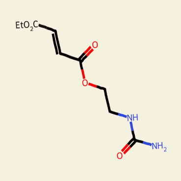 CCOC(=O)/C=C/C(=O)OCCNC(N)=O